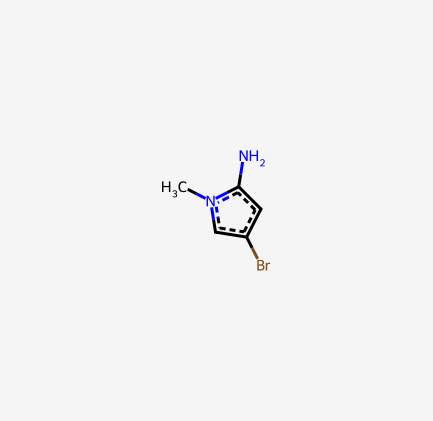 Cn1cc(Br)cc1N